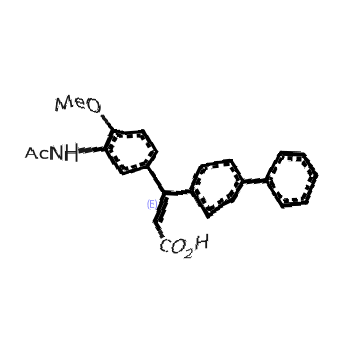 COc1ccc(/C(=C/C(=O)O)c2ccc(-c3ccccc3)cc2)cc1NC(C)=O